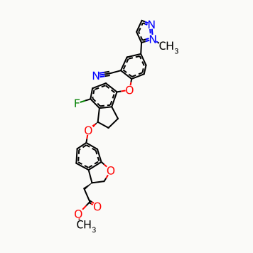 COC(=O)C[C@@H]1COc2cc(O[C@@H]3CCc4c(Oc5ccc(-c6ccnn6C)cc5C#N)ccc(F)c43)ccc21